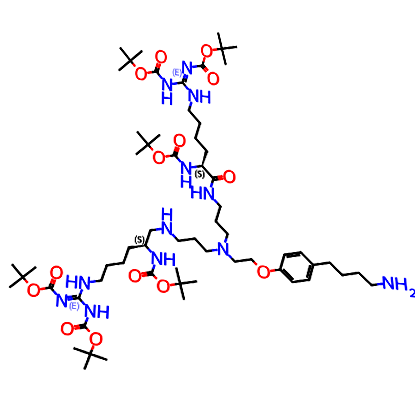 CC(C)(C)OC(=O)/N=C(\NCCCC[C@@H](CNCCCN(CCCNC(=O)[C@H](CCCCN/C(=N\C(=O)OC(C)(C)C)NC(=O)OC(C)(C)C)NC(=O)OC(C)(C)C)CCOc1ccc(CCCCN)cc1)NC(=O)OC(C)(C)C)NC(=O)OC(C)(C)C